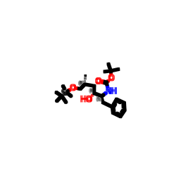 C[C@@H](CO[Si](C)(C)C(C)(C)C)C[C@@H](O)[C@H](Cc1ccccc1)NC(=O)OC(C)(C)C